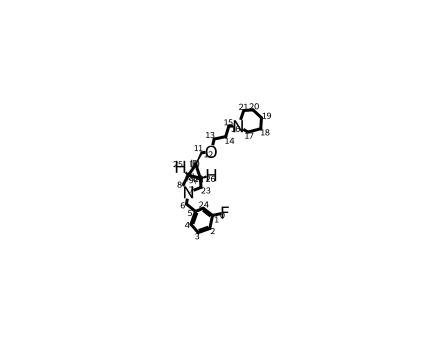 Fc1cccc(CN2C[C@@H]3[C@@H](COCCCN4CCCCC4)[C@@H]3C2)c1